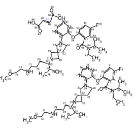 CCN(C(=O)c1cc(F)ccc1Oc1nncnc1N1CCC2(C1)CN([C@H](CCCNCCOC)C(C)C)C2)C(C)C.CCN(C(=O)c1cc(F)ccc1Oc1nncnc1N1CCC2(C1)CN([C@H](CCCNCCOC)C(C)C)C2)C(C)C.O=C(O)/C=C/C(=O)O